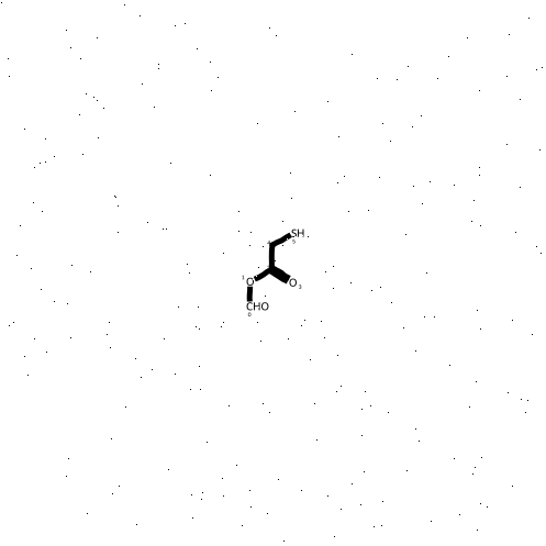 O=COC(=O)CS